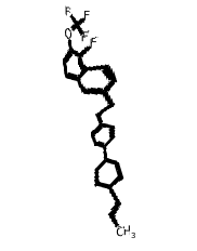 CCCC1CCC(c2ccc(CCc3ccc4c(F)c(OC(F)(F)F)ccc4c3)cc2)CC1